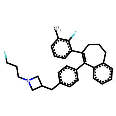 Cc1cccc(C2=C(c3ccc(CC4CN(CCCF)C4)cc3)c3ccccc3CCC2)c1F